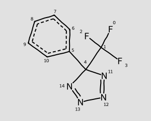 FC(F)(F)C1(c2ccccc2)N=NN=N1